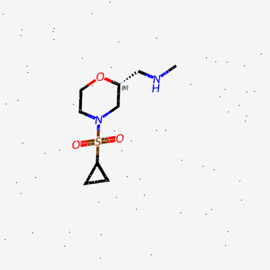 CNC[C@@H]1CN(S(=O)(=O)C2CC2)CCO1